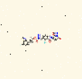 O=C1CC[C@@H](N2Cc3ccc(CNC(=O)OC4CC(c5ccc(F)c6scnc56)C4)c(F)c3C2=O)C(=O)N1